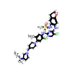 Cc1cc(Nc2ncc(Cl)c(Nc3cc4c(cc3NS(C)(=O)=O)CCO4)n2)c(Cl)cc1N1CCC(N2CCC(N(C)C)C2)CC1